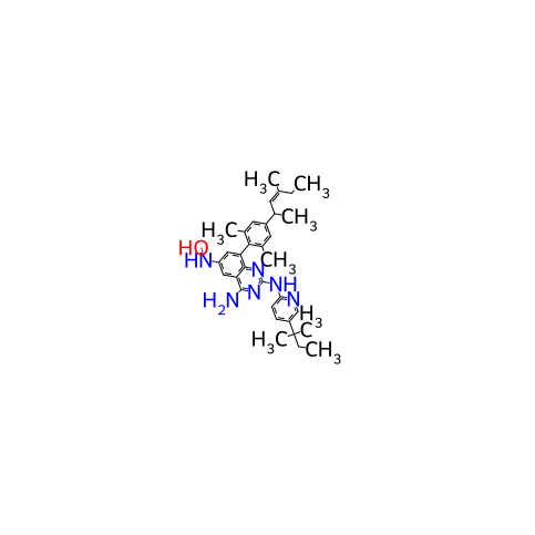 CC/C(C)=C\C(C)c1cc(C)c(-c2cc(NO)cc3c(N)nc(Nc4ccc(C(C)(C)CC)cn4)nc23)c(C)c1